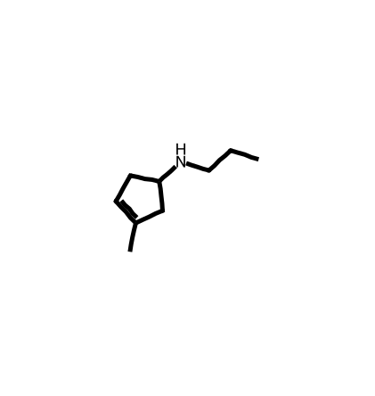 CCCNC1CC=C(C)C1